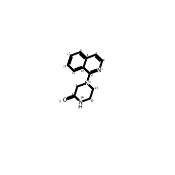 O=C1CN(c2nccc3ccccc23)CCN1